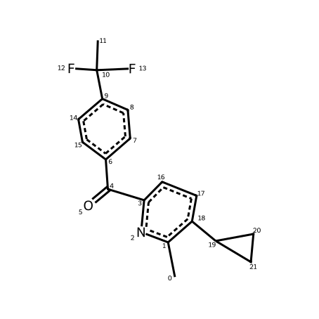 Cc1nc(C(=O)c2ccc(C(C)(F)F)cc2)ccc1C1CC1